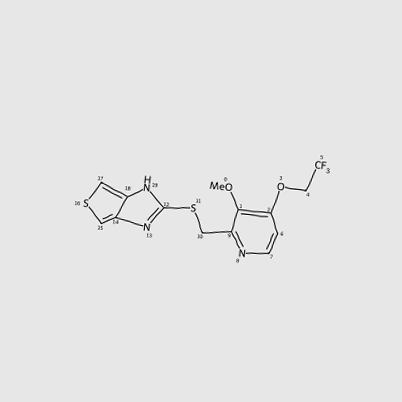 COc1c(OCC(F)(F)F)ccnc1CSc1nc2cscc2[nH]1